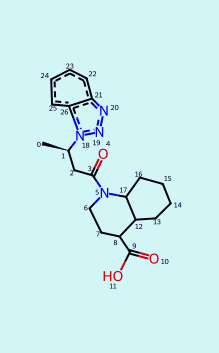 C[C@H](CC(=O)N1CCC(C(=O)O)C2CCCCC21)n1nnc2ccccc21